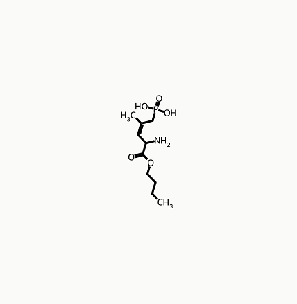 CCCCOC(=O)C(N)C=C(C)CP(=O)(O)O